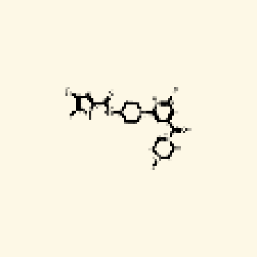 Cc1[nH]c(C(=O)NC2CCN(c3cc(C(=O)N4CCN(C)CC4)cc(Cl)n3)CC2)cc1Br